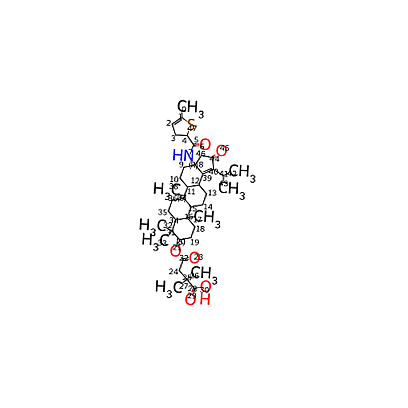 CC1=CCC(C(=O)N[C@@]23CCC4C(CCC5C6(C)CC[C@H](OC(=O)CC(C)(C)C(=O)O)C(C)(C)C6CC[C@@]45C)C2=C(C(C)C)C(=O)C3)S1